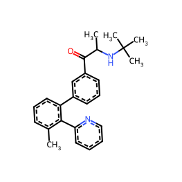 Cc1cccc(-c2cccc(C(=O)C(C)NC(C)(C)C)c2)c1-c1ccccn1